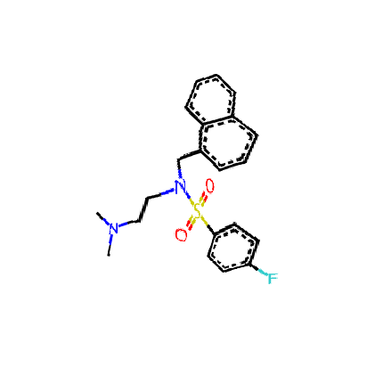 CN(C)CCN(Cc1cccc2ccccc12)S(=O)(=O)c1ccc(F)cc1